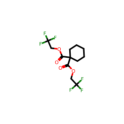 O=C(OCC(F)(F)F)C1(C(=O)OCC(F)(F)F)CCCCC1